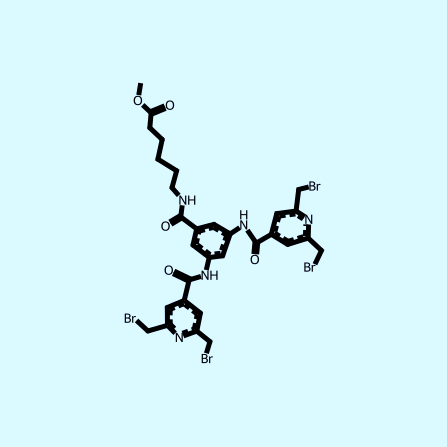 COC(=O)CCCCCNC(=O)c1cc(NC(=O)c2cc(CBr)nc(CBr)c2)cc(NC(=O)c2cc(CBr)nc(CBr)c2)c1